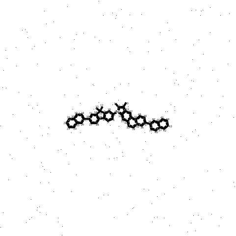 Cc1c(C)n(-c2ccc3c(c2)C(C)(C)c2cc(-c4ccc5ccccc5c4)ccc2-3)c2cc3ccc4cc(-c5ccc6ccccc6c5)ccc4c3cc12